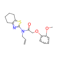 C=CCN(C(=O)COc1ccccc1OC)c1nc2c(s1)CCCC2